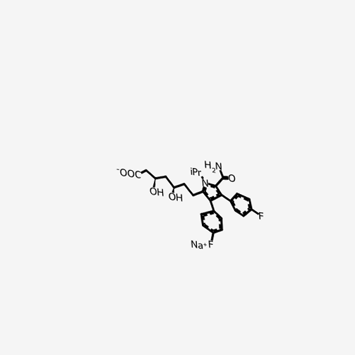 CC(C)n1c(CC[C@@H](O)C[C@@H](O)CC(=O)[O-])c(-c2ccc(F)cc2)c(-c2ccc(F)cc2)c1C(N)=O.[Na+]